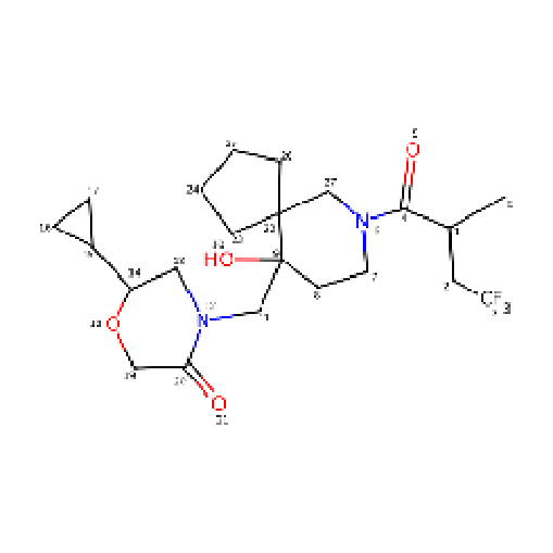 CC(CC(F)(F)F)C(=O)N1CCC(O)(CN2CC(C3CC3)OCC2=O)C2(CCCC2)C1